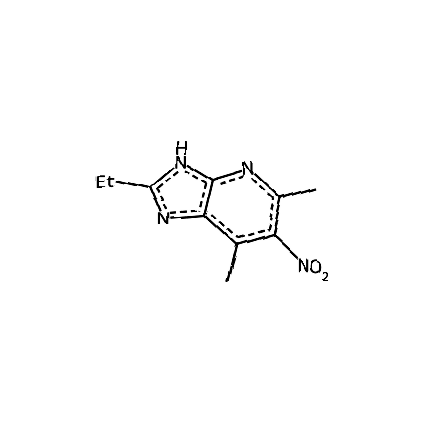 CCc1nc2c(C)c([N+](=O)[O-])c(C)nc2[nH]1